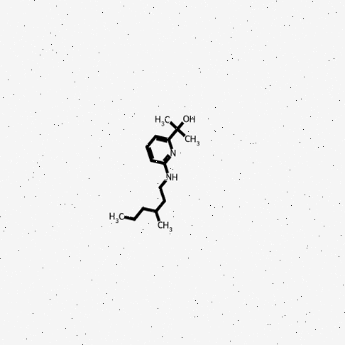 CCCC(C)CCNc1cccc(C(C)(C)O)n1